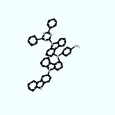 Cc1ccc(N(c2cccc3c2c2ccccc2n3-c2ccc3sc4ccccc4c3c2)c2cccc3c2c2ccccc2n3-c2nc(-c3ccccc3)nc(-c3ccccc3)n2)cc1